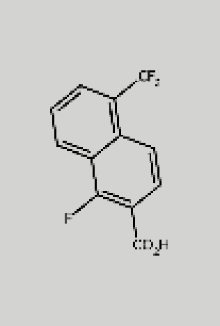 O=C(O)c1ccc2c(C(F)(F)F)cccc2c1F